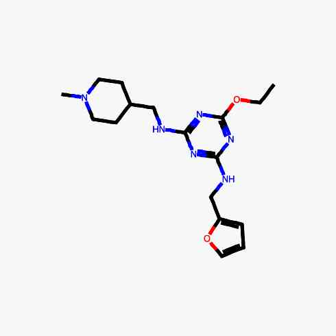 CCOc1nc(NCc2ccco2)nc(NCC2CCN(C)CC2)n1